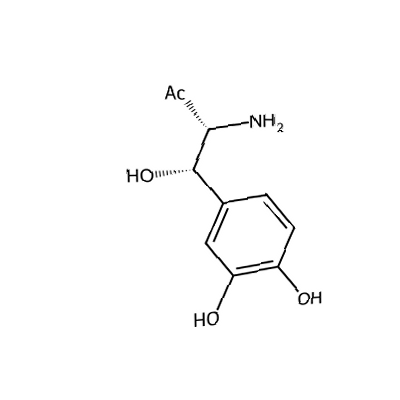 CC(=O)[C@H](N)[C@@H](O)c1ccc(O)c(O)c1